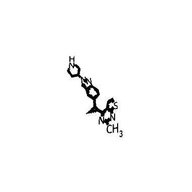 Cc1nc(C2CC2c2ccc3nn(C4CCNCC4)cc3c2)c2ccsc2n1